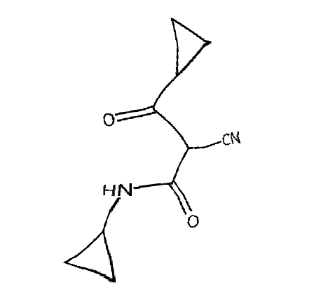 N#CC(C(=O)NC1CC1)C(=O)C1CC1